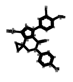 CCOC(=O)c1nn(-c2ccc(OC)c(F)c2)c2c1C1(CC1)CN(c1ccc(C#N)cc1)C2=O